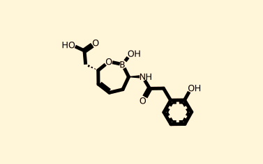 O=C(O)C[C@H]1C=CC[C@H](NC(=O)Cc2ccccc2O)B(O)O1